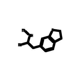 CCNC(CC)Cc1ccc2c(c1)SCC2